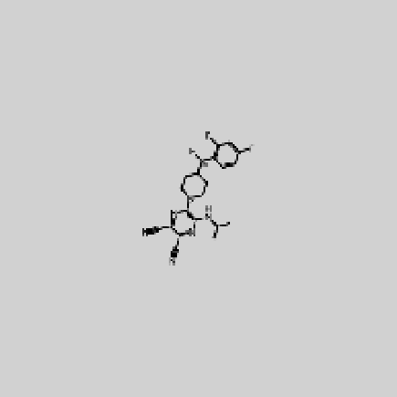 CC(C)Nc1nc(C#N)c(C#N)nc1N1CCC([C@@H](F)c2ccc(F)cc2F)CC1